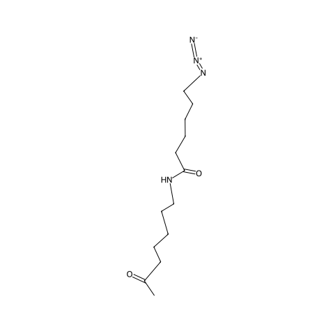 CC(=O)CCCCCNC(=O)CCCCCN=[N+]=[N-]